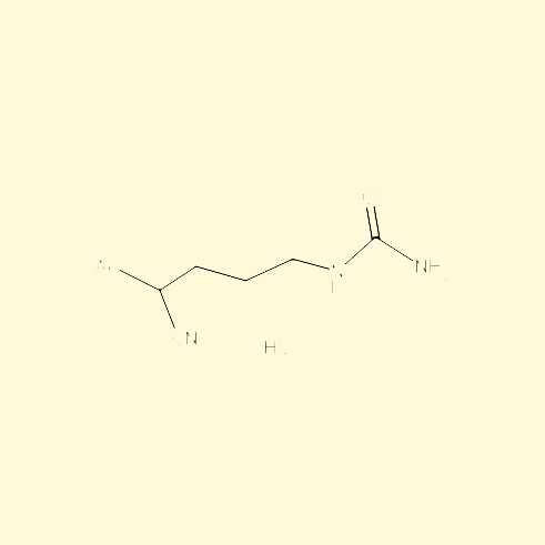 CC(=O)C(C#N)CCCNC(N)=O.Cl